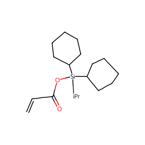 C=CC(=O)O[Si](C(C)C)(C1CCCCC1)C1CCCCC1